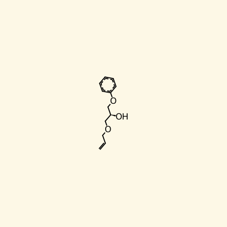 C=CCOC[C@H](O)COc1ccccc1